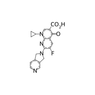 O=C(O)c1cn(C2CC2)c2nc(N3Cc4ccncc4C3)c(F)cc2c1=O